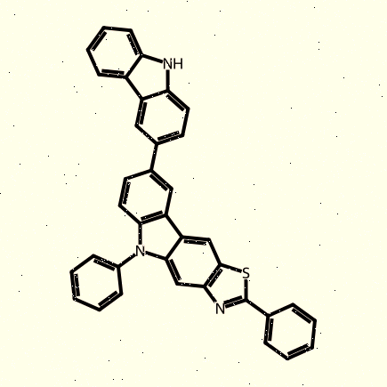 c1ccc(-c2nc3cc4c(cc3s2)c2cc(-c3ccc5[nH]c6ccccc6c5c3)ccc2n4-c2ccccc2)cc1